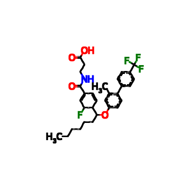 CCCCCCC(Oc1ccc(-c2ccc(C(F)(F)F)cc2)c(C)c1)C1C=CC(C(=O)NCCC(=O)O)=CC1F